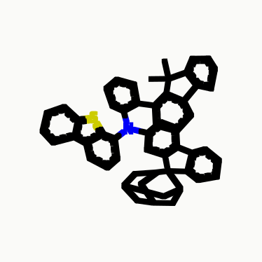 CC1(C)c2ccccc2-c2cccc(-c3ccccc3N(c3ccc4c(c3)C3(c5ccccc5-4)C4CC5CC(C4)CC3C5)c3cccc4c3sc3ccccc34)c21